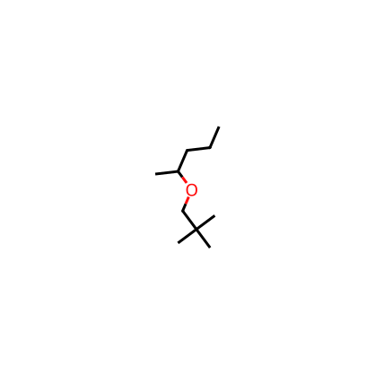 CCCC(C)OCC(C)(C)C